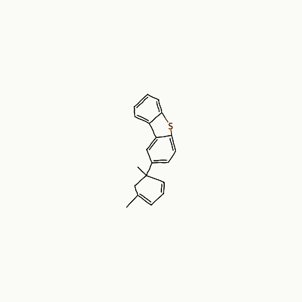 CC1=CC=CC(C)(c2ccc3sc4ccccc4c3c2)C1